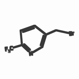 FC(F)(F)c1ccc(CBr)cn1